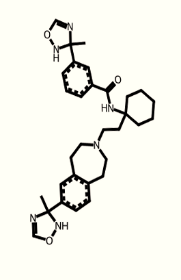 CC1(c2cccc(C(=O)NC3(CCN4CCc5ccc(C6(C)N=CON6)cc5CC4)CCCCC3)c2)N=CON1